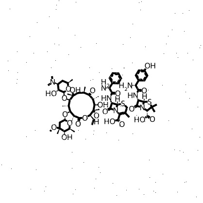 CC1(C)S[C@@H]2[C@H](NC(=O)[C@H](N)c3ccc(O)cc3)C(=O)N2[C@H]1C(=O)O.CC1=C(C(=O)O)N2C(=O)[C@@H](NC(=O)[C@H](N)c3ccccc3)[C@H]2SC1.CC[C@H]1OC(=O)[C@H](C)[C@@H](O[C@H]2C[C@@](C)(OC)[C@@H](O)[C@H](C)O2)[C@H](C)[C@@H](O[C@@H]2O[C@H](C)C[C@H](N(C)C)[C@H]2O)[C@](C)(O)C[C@@H](C)C(=O)[C@H](C)[C@@H](O)[C@]1(C)O